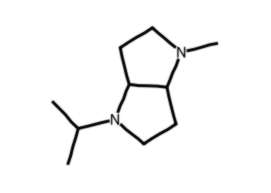 CC(C)N1CCC2C1CCN2C